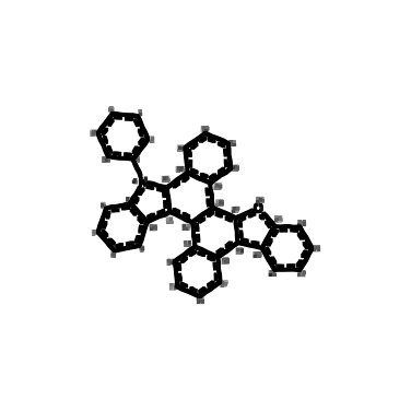 c1ccc(-n2c3ccccc3c3c4c5ccccc5c5c6ccccc6oc5c4c4ccccc4c32)cc1